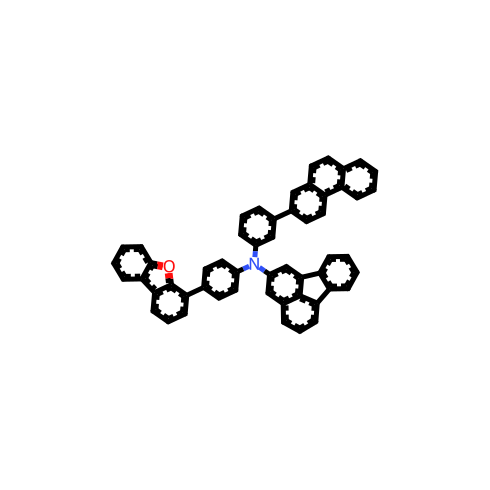 c1cc(-c2ccc3c(ccc4ccccc43)c2)cc(N(c2ccc(-c3cccc4c3oc3ccccc34)cc2)c2cc3c4c(cccc4c2)-c2ccccc2-3)c1